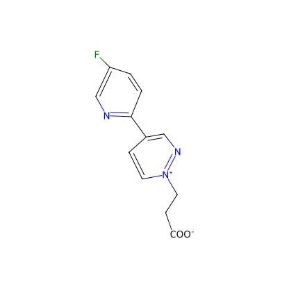 O=C([O-])CC[n+]1ccc(-c2ccc(F)cn2)cn1